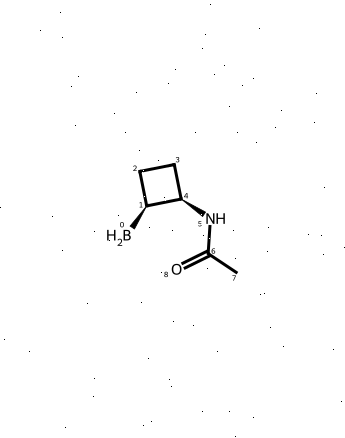 B[C@H]1CC[C@H]1NC(C)=O